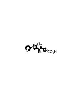 CCN(C(=O)C1CN(C(=O)O)C1)c1cn(-c2cccnc2)nc1Cl